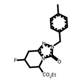 CCOC(=O)C1CC(F)Cc2nn(Cc3ccc(C)cc3)c(=O)n21